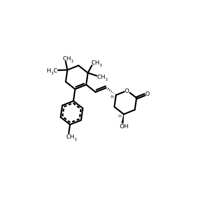 Cc1ccc(C2=C(C=C[C@H]3C[C@H](O)CC(=O)O3)C(C)(C)CC(C)(C)C2)cc1